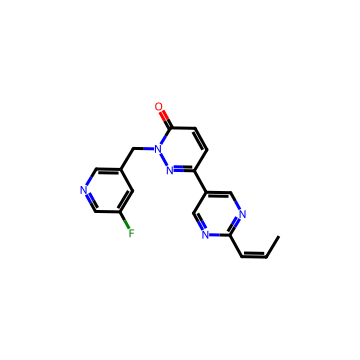 C/C=C\c1ncc(-c2ccc(=O)n(Cc3cncc(F)c3)n2)cn1